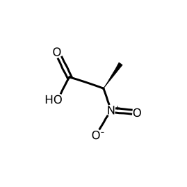 C[C@H](C(=O)O)[N+](=O)[O-]